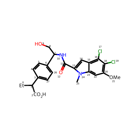 CCC(C(=O)O)c1ccc(C(CO)NC(=O)c2cc3c(Cl)c(Cl)c(OC)cc3n2C)cc1